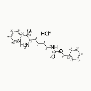 Cl.NC(CCCCNC(=O)OCc1ccccc1)C(=O)c1ccccn1